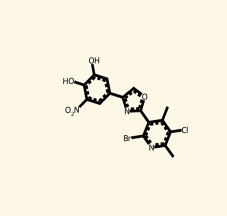 Cc1nc(Br)c(-c2nc(-c3cc(O)c(O)c([N+](=O)[O-])c3)co2)c(C)c1Cl